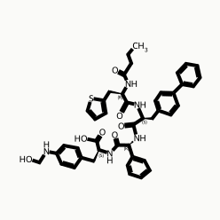 CCCC(=O)N[C@H](Cc1cccs1)C(=O)N[C@@H](Cc1ccc(-c2ccccc2)cc1)C(=O)N[C@@H](C(=O)N[C@@H](Cc1ccc(NCO)cc1)C(=O)O)c1ccccc1